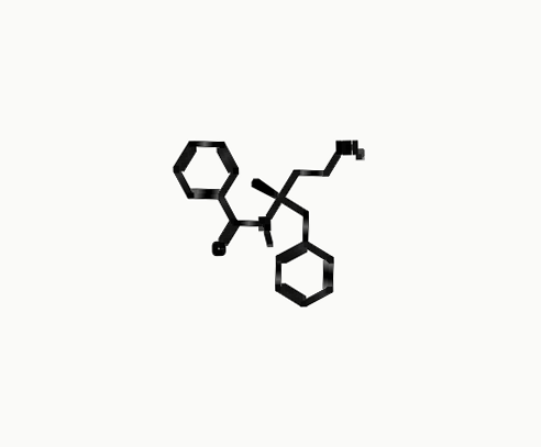 CN(C(=O)c1ccccc1)[C@](C)(CCN)Cc1ccccc1